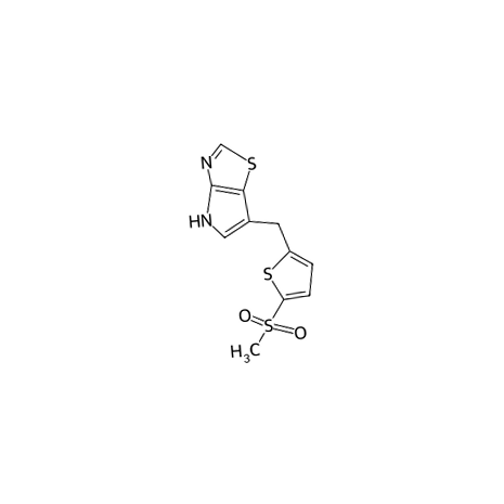 CS(=O)(=O)c1ccc(Cc2c[nH]c3ncsc23)s1